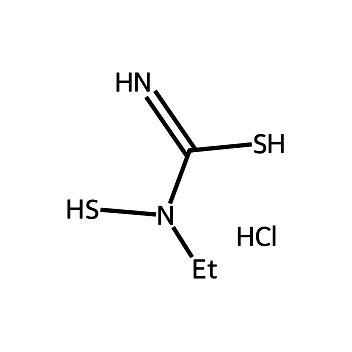 CCN(S)C(=N)S.Cl